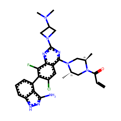 C=CC(=O)N1C[C@H](C)N(c2nc(N3CC(N(C)C)C3)nc3c(F)c(-c4cccc5[nH]nc(N)c45)c(Cl)cc23)C[C@H]1C